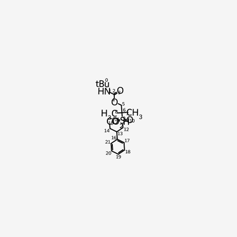 CC(C)(C)NC(=O)OCC(C)(C)S(=O)(=O)CC(CC(=O)O)c1ccccc1